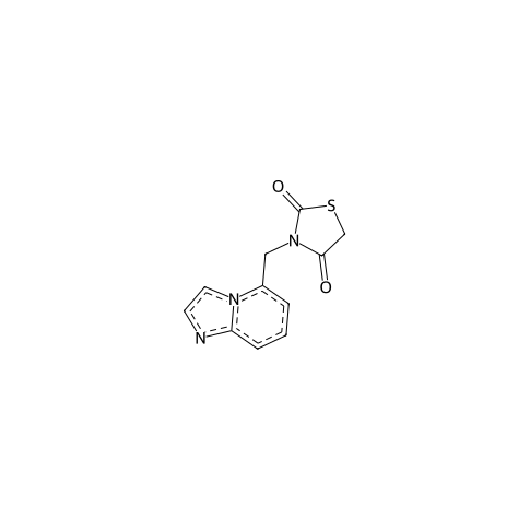 O=C1CSC(=O)N1Cc1cccc2nccn12